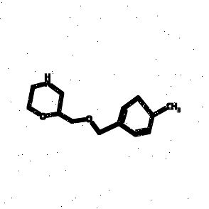 CC1C=CC(COCC2CNCCO2)=CC1